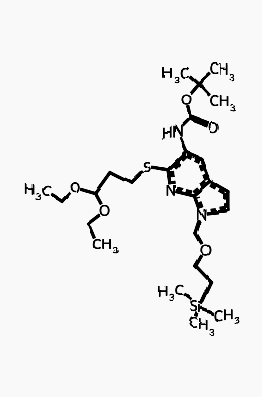 CCOC(CCSc1nc2c(ccn2COCC[Si](C)(C)C)cc1NC(=O)OC(C)(C)C)OCC